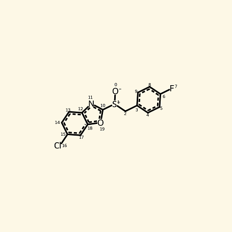 [O-][S+](Cc1ccc(F)cc1)c1nc2ccc(Cl)cc2o1